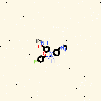 CC(C)NC(=O)C1CCC(n2/c(=N\C(=O)c3ccc(F)cc3)[nH]c3ccc(Cn4cccn4)cc32)CC1